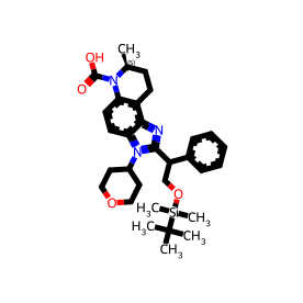 C[C@H]1CCc2c(ccc3c2nc(C(CO[Si](C)(C)C(C)(C)C)c2ccccc2)n3C2CCOCC2)N1C(=O)O